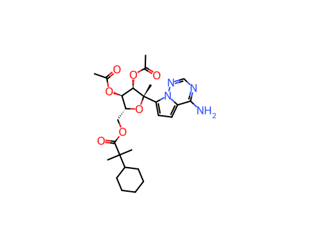 CC(=O)O[C@H]1[C@@H](OC(C)=O)[C@](C)(c2ccc3c(N)ncnn23)O[C@@H]1COC(=O)C(C)(C)C1CCCCC1